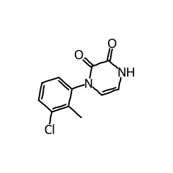 Cc1c(Cl)cccc1-n1cc[nH]c(=O)c1=O